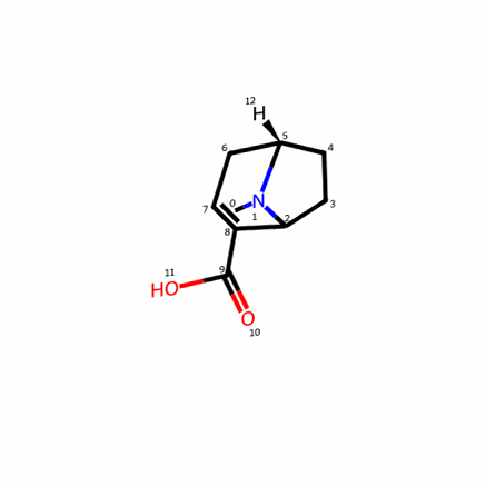 CN1C2CC[C@H]1CC=C2C(=O)O